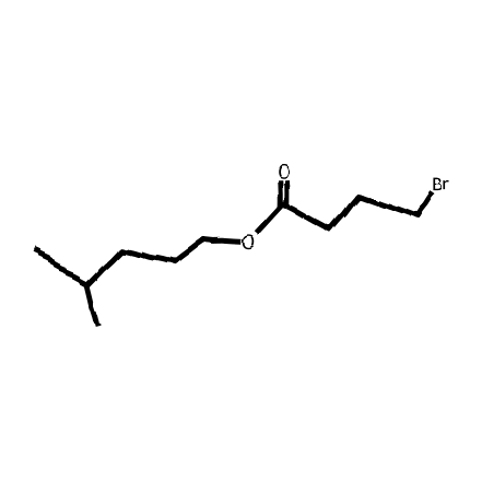 CC(C)CCCOC(=O)CCCBr